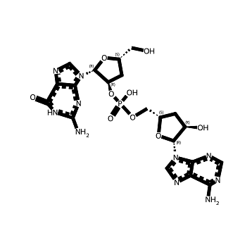 Nc1nc2c(ncn2[C@@H]2O[C@H](CO)C[C@H]2OP(=O)(O)OC[C@@H]2C[C@@H](O)[C@H](n3cnc4c(N)ncnc43)O2)c(=O)[nH]1